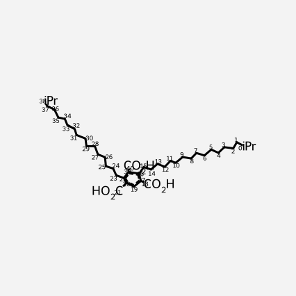 CC(C)CCCCCCCCCCCCCCCc1c(C(=O)O)cc(C(=O)O)c(CCCCCCCCCCCCCCCC(C)C)c1C(=O)O